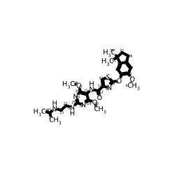 COc1cc2c(cc1Oc1nc(C(=O)Nc3c(OC)nc(NCCNC(C)C)nc3OC)cs1)C(C)(C)CC2